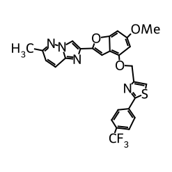 COc1cc(OCc2csc(-c3ccc(C(F)(F)F)cc3)n2)c2cc(-c3cn4nc(C)ccc4n3)oc2c1